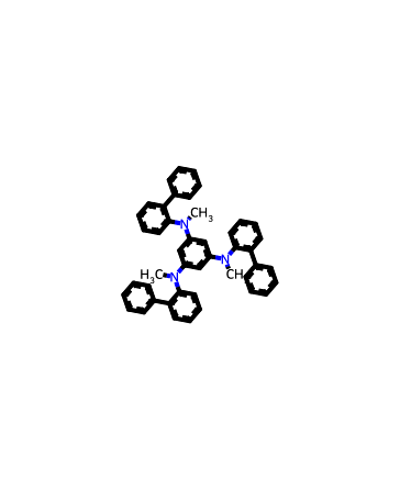 CN(c1cc(N(C)c2ccccc2-c2ccccc2)cc(N(C)c2ccccc2-c2ccccc2)c1)c1ccccc1-c1ccccc1